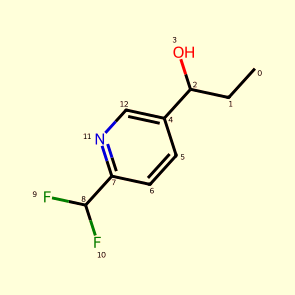 CCC(O)c1ccc(C(F)F)nc1